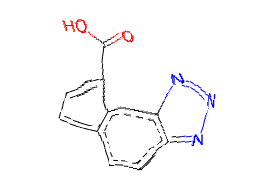 O=C(O)C1=CC=c2ccc3c(c21)N=NN=3